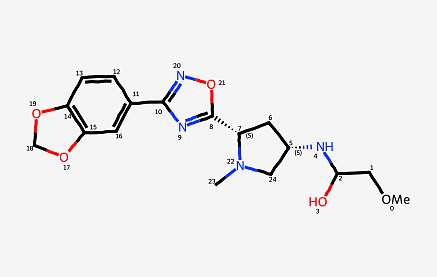 COCC(O)N[C@H]1C[C@@H](c2nc(-c3ccc4c(c3)OCO4)no2)N(C)C1